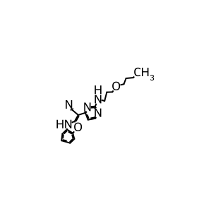 CCCCOCCCNc1nccc(/C(C#N)=C2/Nc3ccccc3O2)n1